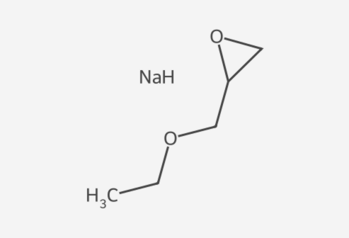 CCOCC1CO1.[NaH]